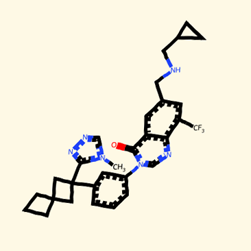 Cn1cnnc1C1(c2cccc(-n3cnc4c(C(F)(F)F)cc(CNCC5CC5)cc4c3=O)c2)CC2(CCC2)C1